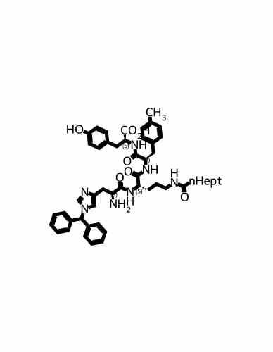 CCCCCCCC(=O)NCCC[C@H](NC(=O)[C@@H](N)Cc1cn(C(c2ccccc2)c2ccccc2)cn1)C(=O)N[C@H](Cc1ccc(C)cc1)C(=O)N[C@@H](Cc1ccc(O)cc1)C(=O)O